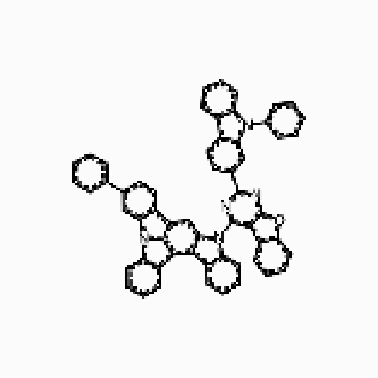 c1ccc(-c2ccc3c4cc5c(c6ccccc6n5-c5nc(-c6ccc7c8ccccc8n(-c8ccccc8)c7c6)nc6oc7ccccc7c56)c5c6ccccc6n(c3c2)c45)cc1